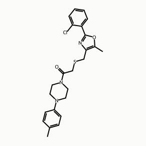 Cc1ccc(N2CCN(C(=O)CSCc3nc(-c4ccccc4Cl)oc3C)CC2)cc1